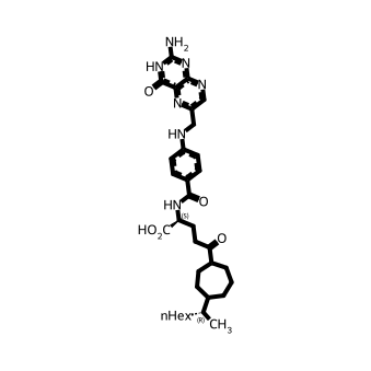 CCCCCC[C@@H](C)C1CCCC(C(=O)CC[C@H](NC(=O)c2ccc(NCc3cnc4nc(N)[nH]c(=O)c4n3)cc2)C(=O)O)CC1